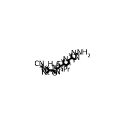 CC(C)[C@](C)(c1ccc(-c2cnc(N)nc2)nc1)c1noc(-c2cnn(CC#N)c2)n1